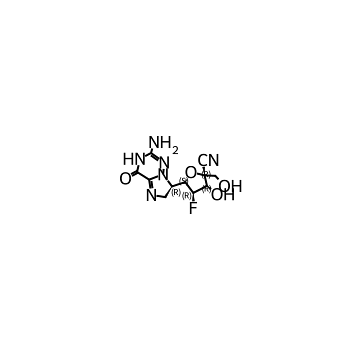 N#C[C@]1(CO)O[C@@H]([C@H]2CN=C3C(=O)NC(N)=NN32)[C@H](F)[C@@H]1O